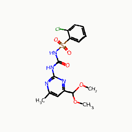 COC(OC)c1cc(C)nc(NC(=O)NS(=O)(=O)c2ccccc2Cl)n1